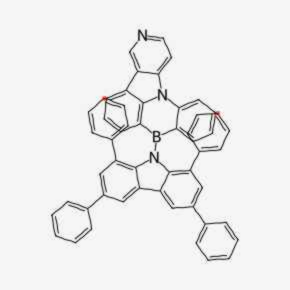 c1ccc(-c2cc(-c3ccccc3)c3c(c2)c2cc(-c4ccccc4)cc(-c4ccccc4)c2n3B2c3ccccc3-n3c4ccncc4c4cccc2c43)cc1